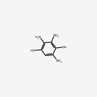 Nc1cc(O)c(N)c(N)c1O